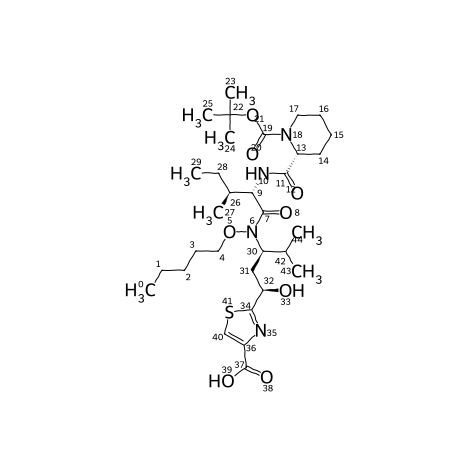 CCCCCON(C(=O)[C@@H](NC(=O)[C@H]1CCCCN1C(=O)OC(C)(C)C)[C@@H](C)CC)[C@H](C[C@@H](O)c1nc(C(=O)O)cs1)C(C)C